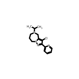 CC(C)N1CCCn2nc(-c3ccccn3)c(Cl)c2C1